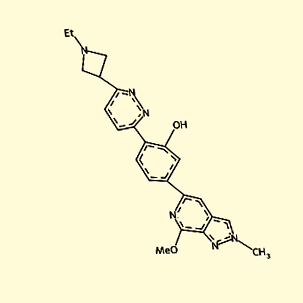 CCN1CC(c2ccc(-c3ccc(-c4cc5cn(C)nc5c(OC)n4)cc3O)nn2)C1